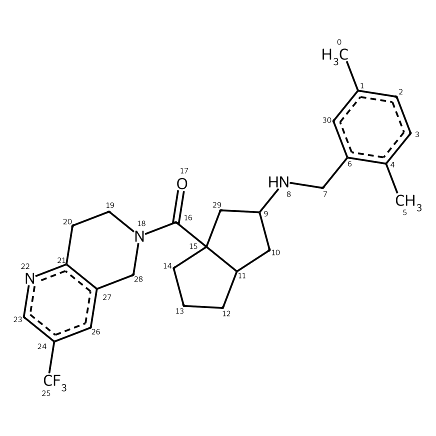 Cc1ccc(C)c(CNC2CC3CCCC3(C(=O)N3CCc4ncc(C(F)(F)F)cc4C3)C2)c1